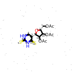 CC(=O)OC[C@H]1O[C@@H](c2c[nH]c(=S)[nH]c2=S)C(OC(C)=O)C1OC(C)=O